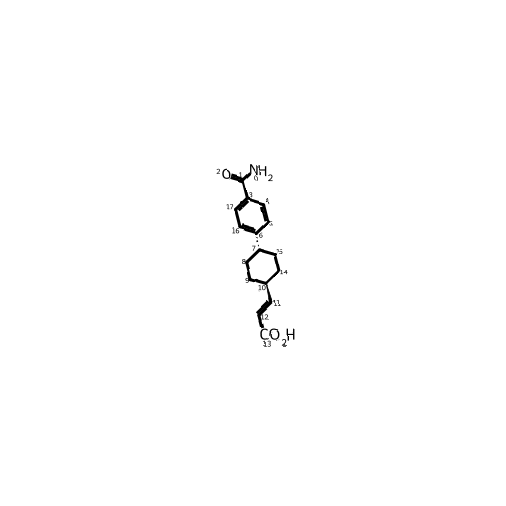 NC(=O)c1ccc([C@H]2CC[C@H](C=CC(=O)O)CC2)cc1